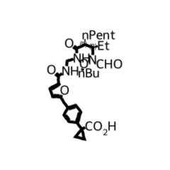 CCCCC[C@@H](C(=O)NCNC(=O)c1ccc(-c2ccc(C3(C(=O)O)CC3)cc2)o1)[C@@H](CC)N(C=O)OCCCC